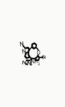 Cn1cncc1[C@]1(N)c2ccc(C#N)c(c2)OCc2cccc(c2)-c2cc(C#N)nc3ccc1cc23